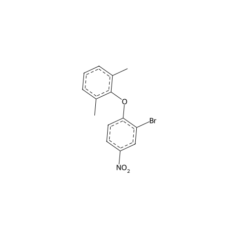 Cc1cccc(C)c1Oc1ccc([N+](=O)[O-])cc1Br